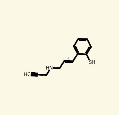 C#CCNC/C=C/c1ccccc1S